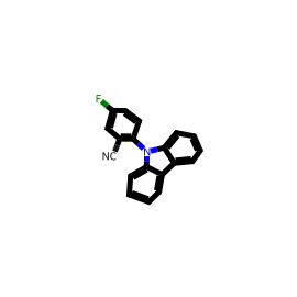 N#Cc1cc(F)ccc1-n1c2ccccc2c2ccccc21